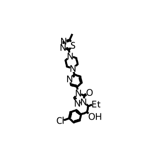 CCC(C(O)c1ccc(Cl)cc1)n1ncn(-c2ccc(N3CCN(c4nnc(C)s4)CC3)nc2)c1=O